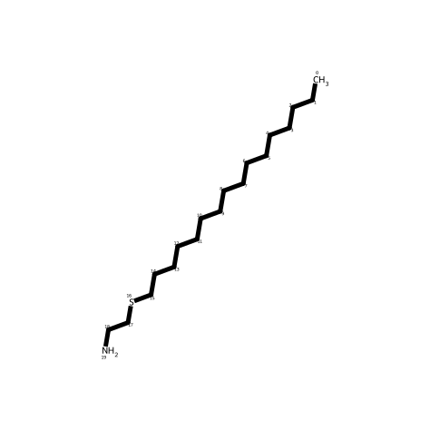 CCCCCCCCCCCCCCCCSCCN